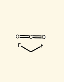 FCF.O=C=O